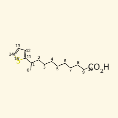 CC(CCCCCCCCC(=O)O)c1cccs1